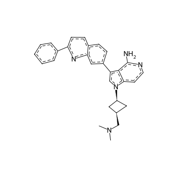 CN(C)C[C@H]1C[C@@H](n2cc(-c3ccc4ccc(-c5ccccc5)nc4c3)c3c(N)nccc32)C1